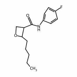 CCCCCC1OCC1C(=O)Nc1ccc(F)cc1